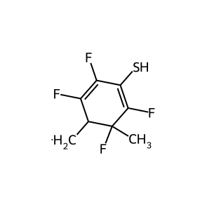 [CH2]C1C(F)=C(F)C(S)=C(F)C1(C)F